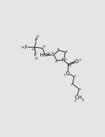 CCCCOC(=O)N1CC[C@H](NCC(F)(F)F)C1